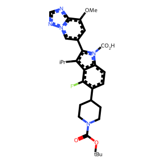 COc1cc(-c2c(C(C)C)c3c(F)c(C4CCN(C(=O)OC(C)(C)C)CC4)ccc3n2C(=O)O)cn2ncnc12